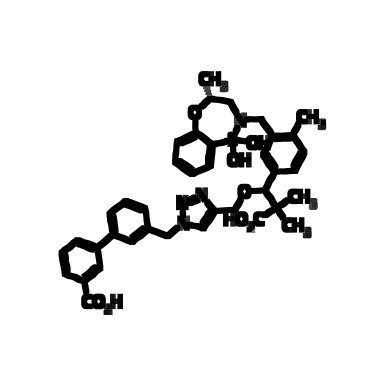 Cc1ccc(C(OCc2cn(Cc3cccc(-c4cccc(C(=O)O)c4)c3)nn2)C(C)(C)C(=O)O)cc1CN1C[C@@H](C)Oc2ccccc2S1(O)O